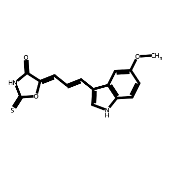 COc1ccc2[nH]cc(C=CC=C3OC(=S)NC3=O)c2c1